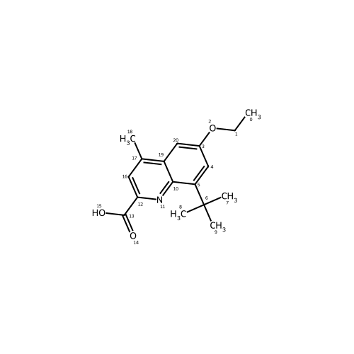 CCOc1cc(C(C)(C)C)c2nc(C(=O)O)cc(C)c2c1